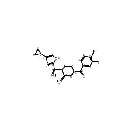 Cc1cc(C(=O)N2CCN(C(=N)c3nc(C4CC4)co3)C(=N)C2)ccc1F